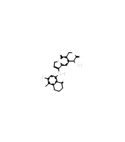 Cc1c(F)cc(NC2=CCn3c2cc2c(c3=O)COC(=O)C2O)c2c1CCCC2=O